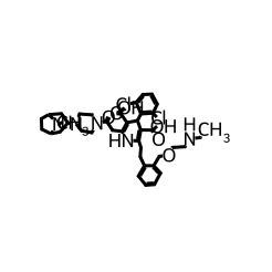 CCNCCOCc1ccccc1CCC1=C(C(=O)O)C(c2c(Cl)cccc2Cl)C(C(=O)O)=C(CC(=O)N2CCN(C3CC4CCC(C3)N4C)CC2)N1